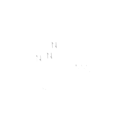 CCOC(=O)c1cnn2ncc(Br)cc12